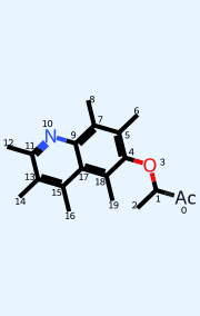 CC(=O)C(C)Oc1c(C)c(C)c2nc(C)c(C)c(C)c2c1C